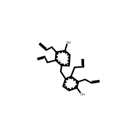 C=CCc1c(O)ccc(Cc2ccc(O)c(CC=C)c2CC=C)c1CC=C